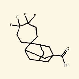 O=C(O)C12CC3CC(C1)C1(CCC(F)(F)C(F)(F)CC1)C(C3)C2